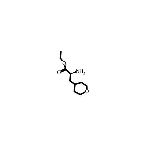 CCOC(=O)[C@@H](N)CC1CCOCC1